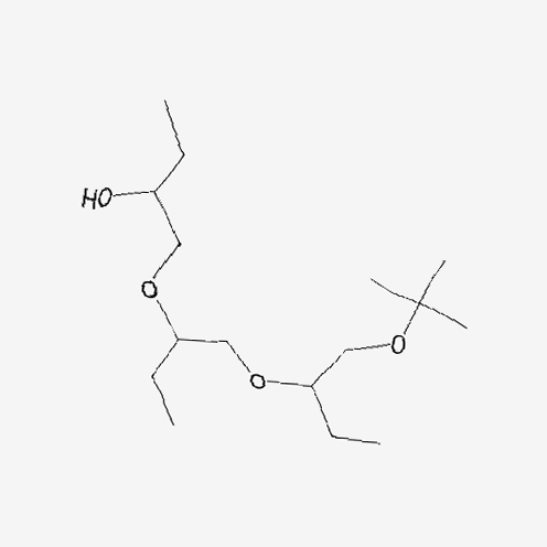 CCC(O)COC(CC)COC(CC)COC(C)(C)C